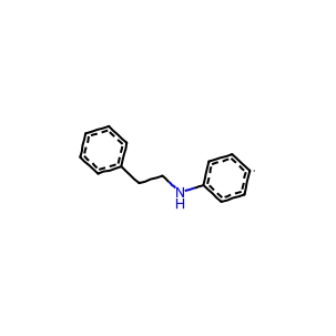 [c]1ccc(NCCc2ccccc2)cc1